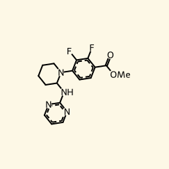 COC(=O)c1ccc(N2CCCCC2Nc2ncccn2)c(F)c1F